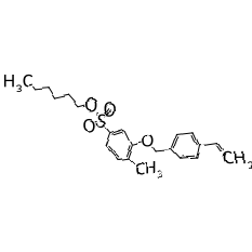 C=Cc1ccc(COc2cc(S(=O)(=O)OCCCCCC)ccc2C)cc1